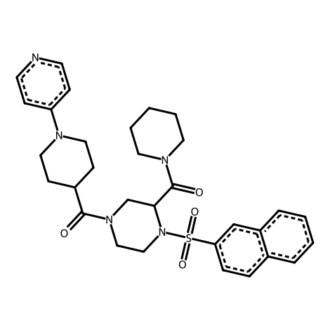 O=C(C1CCN(c2ccncc2)CC1)N1CCN(S(=O)(=O)c2ccc3ccccc3c2)C(C(=O)N2CCCCC2)C1